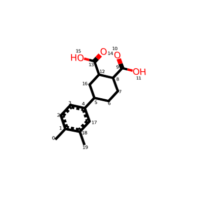 Cc1ccc(C2CCC(C(=O)O)C(C(=O)O)C2)cc1C